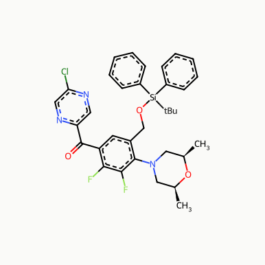 C[C@@H]1CN(c2c(CO[Si](c3ccccc3)(c3ccccc3)C(C)(C)C)cc(C(=O)c3cnc(Cl)cn3)c(F)c2F)C[C@H](C)O1